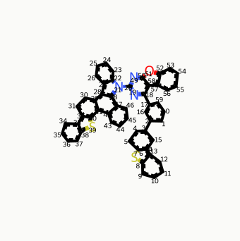 c1cc(-c2ccc3sc4ccccc4c3c2)cc(-c2nc(-n3c4ccccc4c4c5ccc6c7ccccc7sc6c5c5ccccc5c43)nc3oc4ccccc4c23)c1